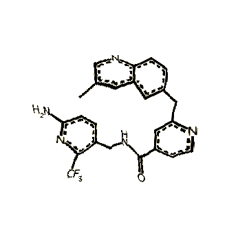 Cc1cnc2ccc(Cc3cc(C(=O)NCc4ccc(N)nc4C(F)(F)F)ccn3)cc2c1